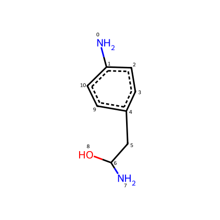 Nc1ccc(CC(N)O)cc1